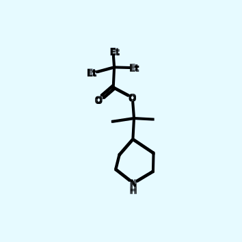 CCC(CC)(CC)C(=O)OC(C)(C)C1CCNCC1